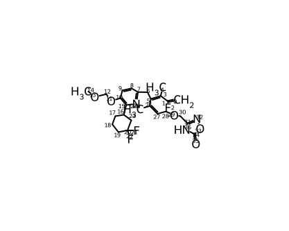 C=C(F)/C(C)=C(Cc1ccc(OCOC)c(C2CCCC(F)(F)C2)n1)\C(C)=C/COCc1noc(=O)[nH]1